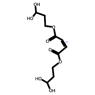 O=C(/C=C\C(=O)OCCC(O)O)OCCC(O)O